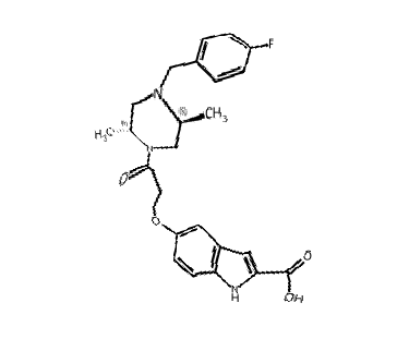 C[C@@H]1CN(Cc2ccc(F)cc2)[C@@H](C)CN1C(=O)COc1ccc2[nH]c(C(=O)O)cc2c1